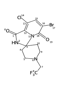 O=C1NC2(CCN(CC(F)(F)F)CC2)n2c1c(Cl)cc(Br)c2=O